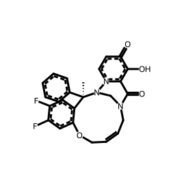 C[C@@]1(c2ccccc2)c2cc(F)c(F)cc2OC/C=C\CN2CN1n1ccc(=O)c(O)c1C2=O